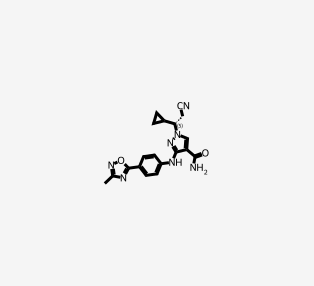 Cc1noc(-c2ccc(Nc3nn([C@@H](CC#N)C4CC4)cc3C(N)=O)cc2)n1